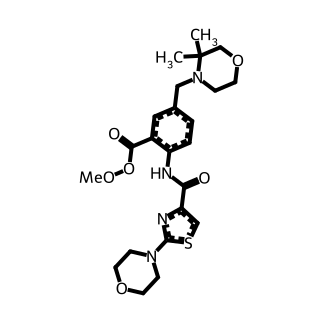 COOC(=O)c1cc(CN2CCOCC2(C)C)ccc1NC(=O)c1csc(N2CCOCC2)n1